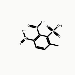 Cc1ccc([N+](=O)[O-])c([N+](=O)[O-])c1S(=O)(=O)O